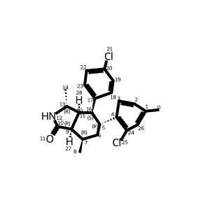 Cc1ccc([C@@H]2C[C@@H](C)[C@H]3C(=O)N[C@H](C)[C@H]3[C@H]2c2ccc(Cl)cc2)c(Cl)c1